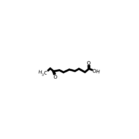 CCC(=O)CCCCCCC(=O)O